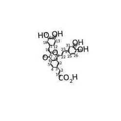 O=C(O)C=Cc1ccc(C(=O)C=Cc2ccc(O)c(O)c2)c(C(=O)C=Cc2ccc(O)c(O)c2)c1